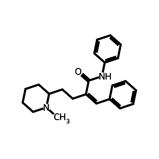 CN1CCCCC1CCC(=Cc1ccccc1)C(=O)Nc1ccccc1